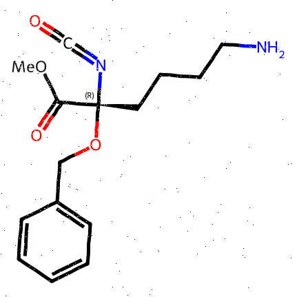 COC(=O)[C@](CCCCN)(N=C=O)OCc1ccccc1